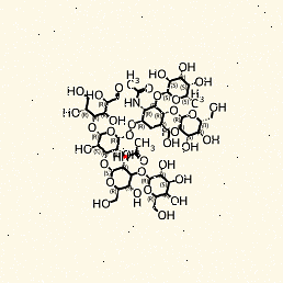 CC(=O)N[C@@H]1[C@@H](O[C@@H]2O[C@@H](C)[C@@H](O)[C@@H](O)[C@@H]2O)[C@H](O[C@@H]2O[C@H](CO)[C@H](O)[C@H](O)[C@H]2O)[C@@H](CO)C[C@H]1OO[C@H]1O[C@@H](O[C@@H]([C@H](O)[C@@H](O)C=O)[C@H](O)CO)[C@H](O)[C@@H](O[C@@H]2O[C@H](CO)[C@@H](O)C(O[C@@H]3O[C@H](CO)[C@H](O)[C@H](O)[C@H]3O)[C@H]2NC(C)=O)[C@H]1O